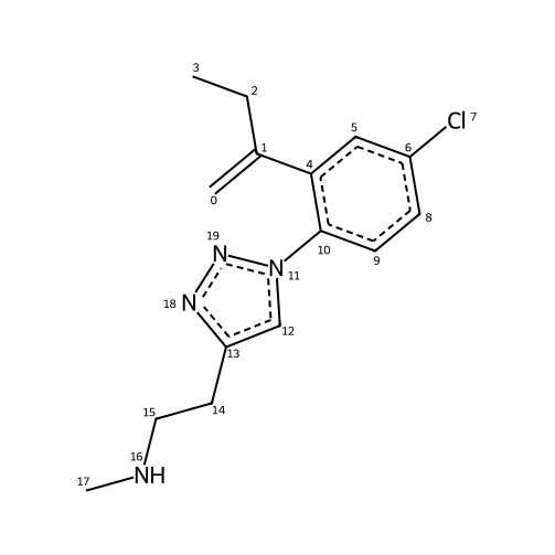 C=C(CC)c1cc(Cl)ccc1-n1cc(CCNC)nn1